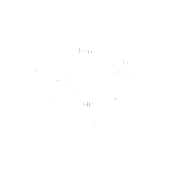 CCCCCO[PH](=O)[O-].CCCCCO[PH](=O)[O-].[Fe+2]